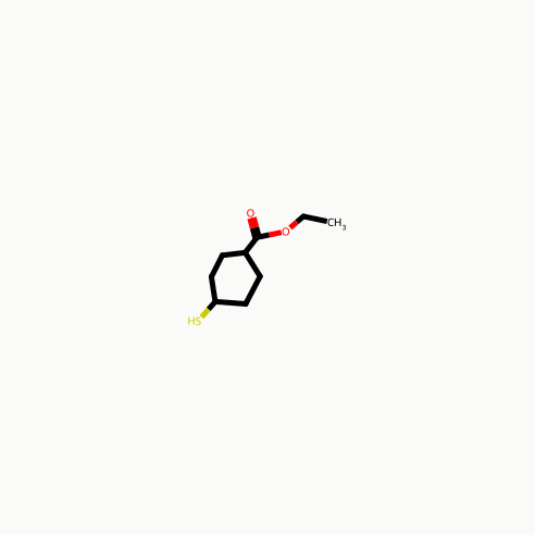 CCOC(=O)C1CCC(S)CC1